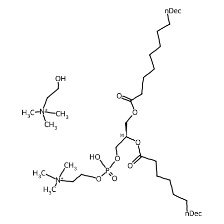 CCCCCCCCCCCCCCCCCC(=O)OC[C@H](COP(=O)(O)OCC[N+](C)(C)C)OC(=O)CCCCCCCCCCCCCCC.C[N+](C)(C)CCO